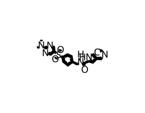 CN(C)c1ncc(S(=O)(=O)c2ccc(CNC(=O)c3cc4cnccc4[nH]3)cc2)cn1